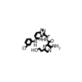 C[C@@H](NC(=O)c1nc(CCO)cnc1N)c1nnc2ccc(Nc3cccc(Cl)c3)nn12